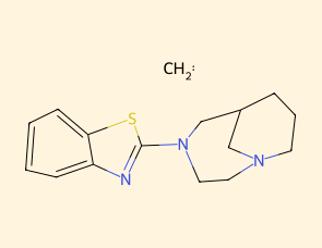 [CH2].c1ccc2sc(N3CCN4CCCC(C4)C3)nc2c1